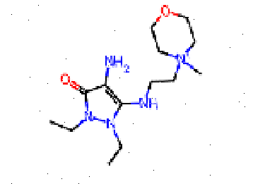 CCn1c(NCC[N+]2(C)CCOCC2)c(N)c(=O)n1CC